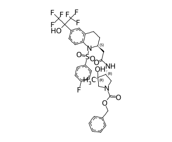 C[C@@]1(O)CN(C(=O)OCc2ccccc2)C[C@H]1NC(=O)C[C@@H]1CCc2cc(C(O)(C(F)(F)F)C(F)(F)F)ccc2N1S(=O)(=O)c1ccc(F)cc1